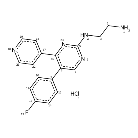 Cl.NCCNc1ncc(-c2ccc(F)cc2)c(-c2ccncc2)n1